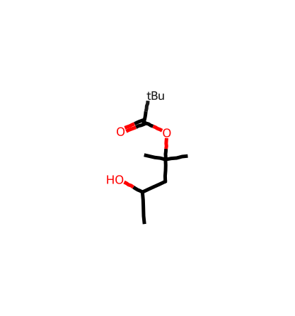 CC(O)CC(C)(C)OC(=O)C(C)(C)C